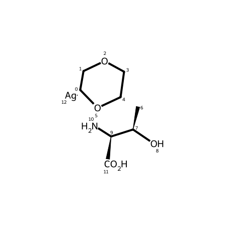 C1COCCO1.C[C@@H](O)[C@H](N)C(=O)O.[Ag]